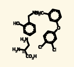 NC[C@H](N)C(=O)O.NCc1ccccc1O.O=Cc1cccc(Oc2ccc(Cl)c(Cl)c2)c1